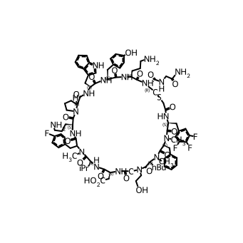 CCCC[C@H]1C(=O)N(CCO)CC(=O)N[C@@H](CC(=O)O)C(=O)N[C@@H](C(C)C)C(=O)N(C)C(Cc2ccc(F)cc2)C(=O)N[C@@H](CCCN)C(=O)N2CCC[C@@H]2C(=O)N[C@@H](Cc2c[nH]c3ccccc23)C(=O)N[C@@H](Cc2ccc(O)cc2)C(=O)N[C@@H](CCCN)C(=O)N[C@H](C(=O)NCC(N)=O)CSCC(=O)N[C@@H](Cc2cc(F)c(F)c(F)c2)C(=O)N(C)[C@@H](Cc2ccccc2)C(=O)N1C